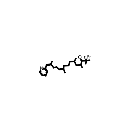 CCCC(C)(C)C(=O)C(C)CC(C)CCCC(C)=CCCC(C)=Cc1ccccn1